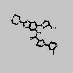 Cc1cc(-n2ccc(C(=O)Nc3cc4oc(N5CCOCC5)nc4nc3N3CCC(O)C3)n2)ccn1